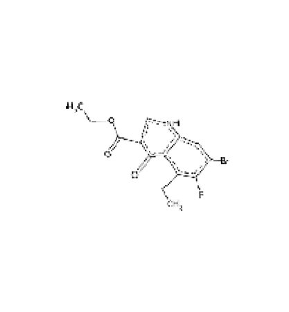 CCOC(=O)c1c[nH]c2cc(Br)c(F)c(CC)c2c1=O